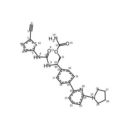 C#Cc1nnc(NC(=O)N[C@@H](COC(N)=O)c2ccc(-c3cccc(N4CCCC4)n3)cc2)s1